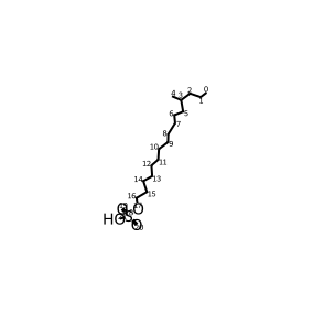 CCCC(C)CCCCCCCCCCCCOS(=O)(=O)O